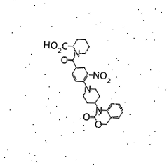 O=C(O)C1CCCCN1C(=O)c1ccc(N2CCC(N3C(=O)OCc4ccccc43)CC2)c([N+](=O)[O-])c1